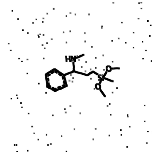 CNC(CC[Si](C)(OC)OC)c1ccccc1